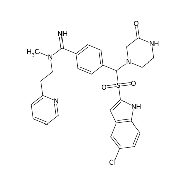 CN(CCc1ccccn1)C(=N)c1ccc(C(N2CCNC(=O)C2)S(=O)(=O)c2cc3cc(Cl)ccc3[nH]2)cc1